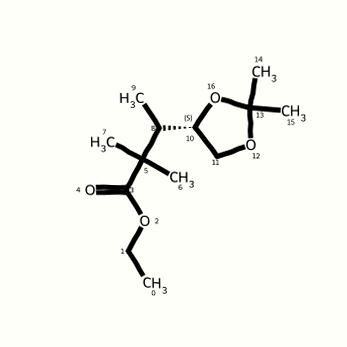 CCOC(=O)C(C)(C)C(C)[C@H]1COC(C)(C)O1